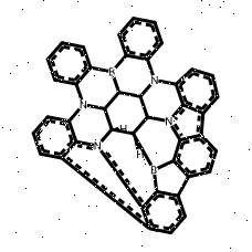 c1ccc2c(c1)B1c3ccccc3N3c4cccc5c6ccc7c8c6n(c45)[C@@H]4C3C1C1C3[C@@H]4B8c4c-7ccc5c6cccc(c6n3c45)N21